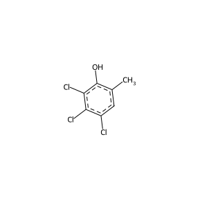 Cc1cc(Cl)c(Cl)c(Cl)c1O